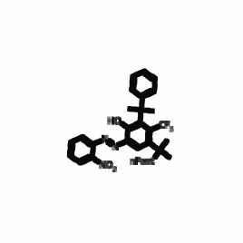 CCCCCC(C)(C)c1cc(N=Nc2ccccc2[N+](=O)[O-])c(O)c(C(C)(C)c2ccccc2)c1C(F)(F)F